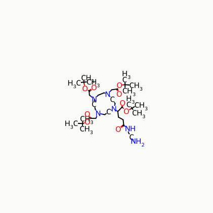 CC(C)(C)OC(=O)CN1CCN(CC(=O)OC(C)(C)C)CCN(C(CCC(=O)NCCN)C(=O)OC(C)(C)C)CCN(CC(=O)OC(C)(C)C)CC1